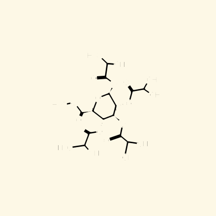 COC(=O)[C@H]1O[C@@H](OC(=O)C(C)C)[C@H](OC(=O)C(C)C)[C@@H](OC(=O)C(C)C)[C@@H]1OC(=O)C(C)C